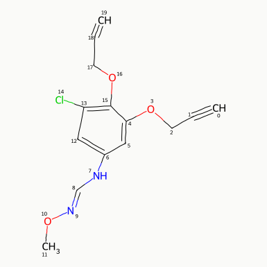 C#CCOc1cc(N/C=N/OC)cc(Cl)c1OCC#C